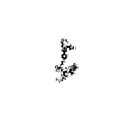 CC1(C)[C@H](NC(=O)/C(=N\O[C@@H](CCCOc2ccc(-c3cn(CCCN)[n+](CC4CNC4)c3)cc2)C(=O)O)c2csc(N)n2)C(=O)N1OS(=O)(=O)[O-]